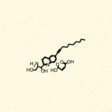 CCCCCCCCC#Cc1ccc2nc(C(O)C(N)CO)ccc2c1.O=C(O)/C=C\C(=O)O